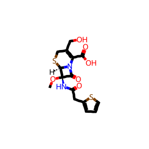 CO[C@@]1(NC(=O)Cc2cccs2)C(=O)N2C(C(=O)O)=C(CO)CS[C@@H]21